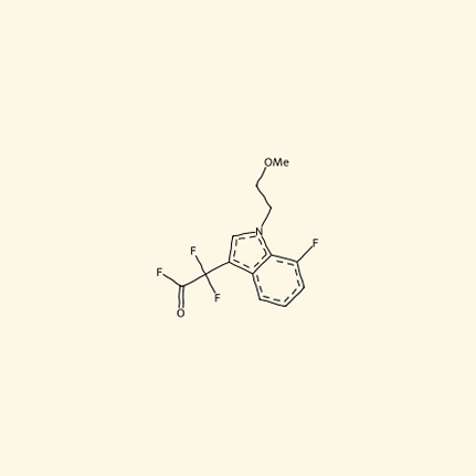 COCCn1cc(C(F)(F)C(=O)F)c2cccc(F)c21